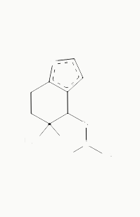 CC1(C)CCc2occc2C1N[S+]([O-])C(C)(C)C